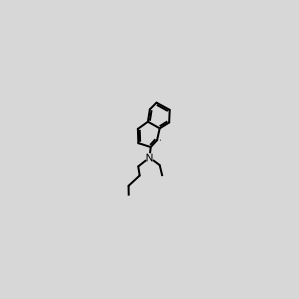 CCCCN(CC)c1[c]c2ccccc2cc1